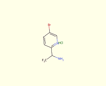 Cl.NC(c1ccc(Br)cn1)C(F)(F)F